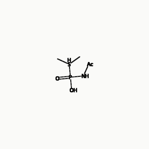 CC(=O)NP(=O)(O)[SH](C)C